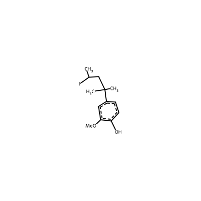 COc1cc(C(C)(C)CC(C)I)ccc1O